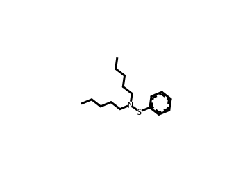 CCCCCN(CCCCC)Sc1ccccc1